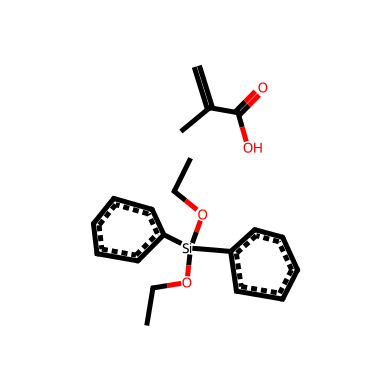 C=C(C)C(=O)O.CCO[Si](OCC)(c1ccccc1)c1ccccc1